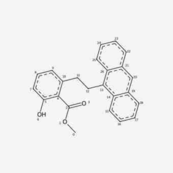 COC(=O)c1c(O)cccc1CCc1c2ccccc2cc2ccccc12